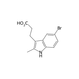 Cc1[nH]c2ccc(Br)cc2c1CCC(=O)O